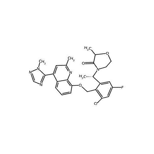 Cc1cc(-c2ncnn2C)c2cccc(OCc3c(Cl)cc(F)cc3[C@H](C)N3CCOC(C)C3=O)c2n1